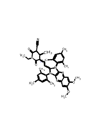 CCN1C(=O)/C(=C\C=C2N(c3c(C)cc(C)cc3C)c3nc4cc(OC)c(OC)cc4nc3N2c2c(C)cc(C)cc2C)C(C)C(C#N)C1=O